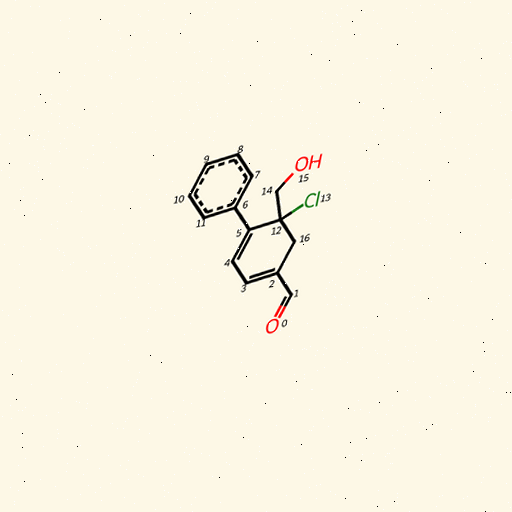 O=CC1=CC=C(c2ccccc2)C(Cl)(CO)C1